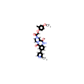 Cc1cc(OC(F)(F)F)ccc1OCC(=O)N1CCN2C(=O)c3cc(-c4ccnc(C(F)(F)F)c4)ccc3NC(=O)C2C1